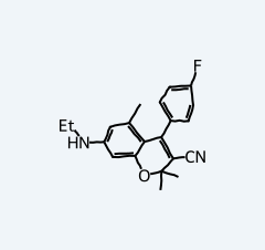 CCNc1cc(C)c2c(c1)OC(C)(C)C(C#N)=C2c1ccc(F)cc1